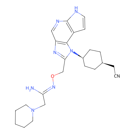 N#CC[C@H]1CC[C@@H](n2c(CO/N=C(\N)CN3CCCCC3)nc3cnc4[nH]ccc4c32)CC1